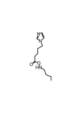 CCCCNOC(=O)CCCCn1ccnc1